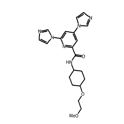 COCCOC1CCC(NC(=O)c2cc(-n3ccnc3)cc(-n3ccnc3)n2)CC1